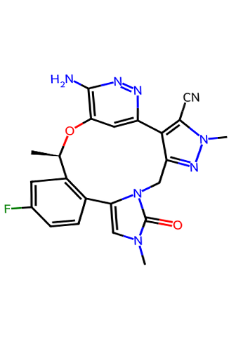 C[C@H]1Oc2cc(nnc2N)-c2c(nn(C)c2C#N)Cn2c(cn(C)c2=O)-c2ccc(F)cc21